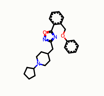 c1ccc(OCc2ccccc2-c2nc(CC3CCN(C4CCCC4)CC3)no2)cc1